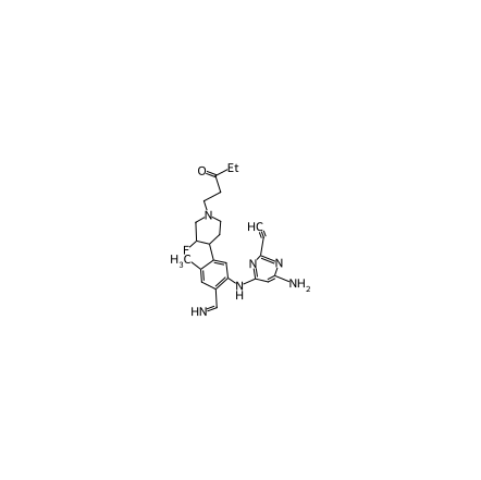 C#Cc1nc(N)cc(Nc2cc(C3CCN(CCC(=O)CC)CC3F)c(C)cc2C=N)n1